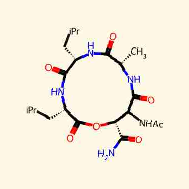 CC(=O)NC1C(=O)N[C@@H](C)C(=O)N[C@@H](CC(C)C)C(=O)N[C@@H](CC(C)C)C(=O)O[C@H]1C(N)=O